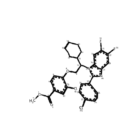 COC(=O)c1ccc(OCC(C2CCCCC2)n2c(-c3ccc(Cl)cc3)nc3cc(F)c(F)cc32)c(Cl)c1